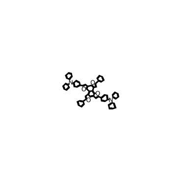 c1ccc(-c2cc3c(o2)c2cc(-c4ccc(N(c5ccccc5)c5ccccc5)cc4)oc2c2c4cc(-c5ccccc5)oc4c4cc(-c5ccc(N(c6ccccc6)c6ccccc6)cc5)oc4c32)cc1